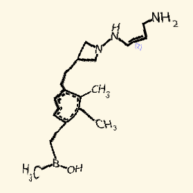 CB(O)CCc1ccc(CC2CN(N/C=C\CN)C2)c(C)c1C